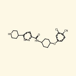 N#Cc1ccc(OC2CCC(NC(=O)c3ccc(C4CCNCC4)nn3)CC2)cc1Cl